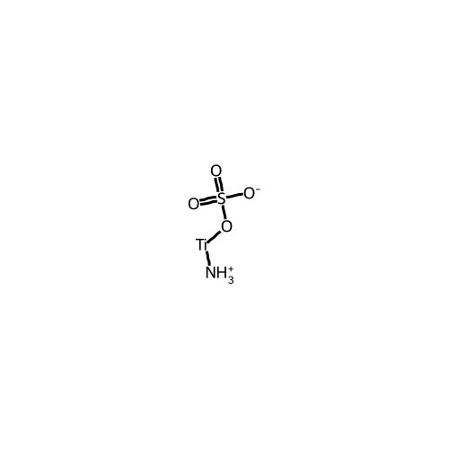 [NH3+][Ti][O]S(=O)(=O)[O-]